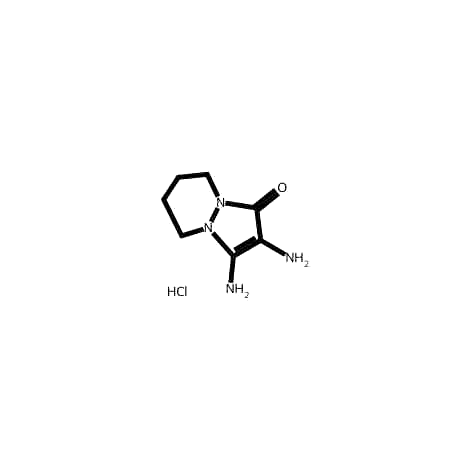 Cl.Nc1c(N)n2n(c1=O)CCCC2